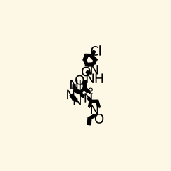 C=CC(=O)N1CCC(n2cc(C(=O)Nc3nc4cc(Cl)ccc4o3)c3c(N)ncnc32)C1